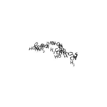 Cc1ncsc1-c1ccc(CNC(=O)[C@@H]2C[C@@H](O)CN2C(=O)[C@H](c2cc(OCCN3CCN(CCOc4cc(N5CC6CCCC5CN6c5cc(-c6ccccc6O)nnc5N)ccn4)CC3)no2)C(C)C)cc1